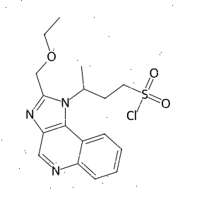 CCOCc1nc2cnc3ccccc3c2n1C(C)CCS(=O)(=O)Cl